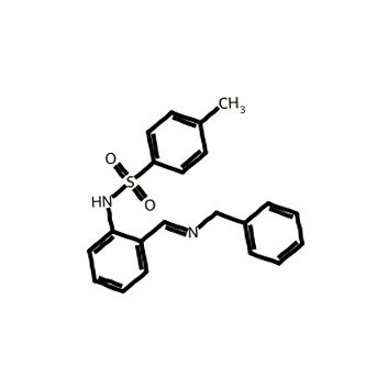 Cc1ccc(S(=O)(=O)Nc2ccccc2C=NCc2ccccc2)cc1